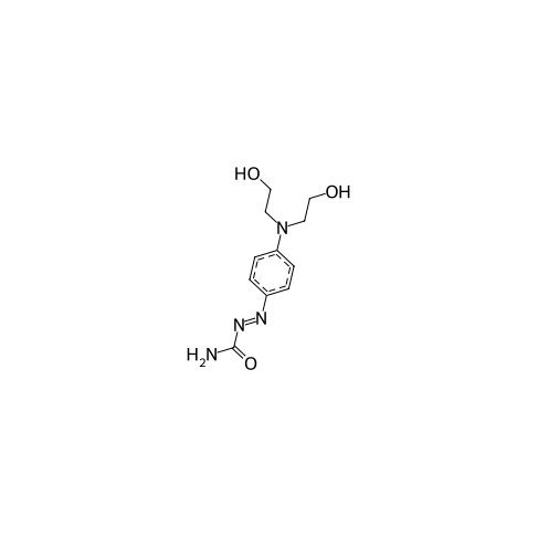 NC(=O)N=Nc1ccc(N(CCO)CCO)cc1